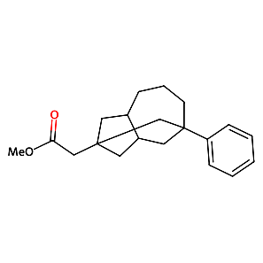 COC(=O)CC12CC3CCCC(c4ccccc4)(CC3C1)C2